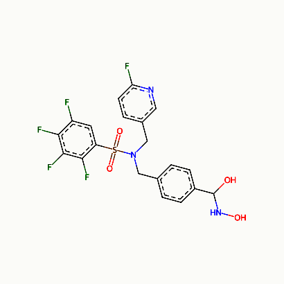 O=S(=O)(c1cc(F)c(F)c(F)c1F)N(Cc1ccc(C(O)NO)cc1)Cc1ccc(F)nc1